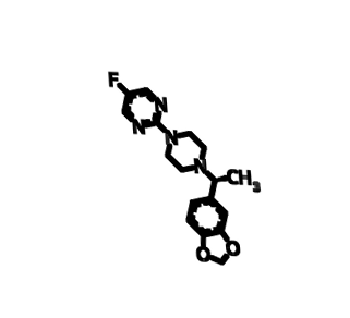 C[C@@H](c1ccc2c(c1)OCO2)N1CCN(c2ncc(F)cn2)CC1